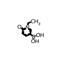 CCn1cc(B(O)O)ccc1=O